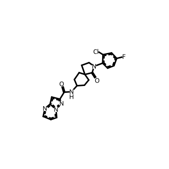 O=C(NC1CCC2(CC1)CCN(c1ccc(F)cc1Cl)C2=O)c1cc2ncccn2n1